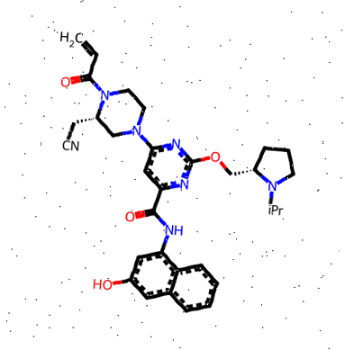 C=CC(=O)N1CCN(c2cc(C(=O)Nc3cc(O)cc4ccccc34)nc(OC[C@@H]3CCCN3C(C)C)n2)C[C@@H]1CC#N